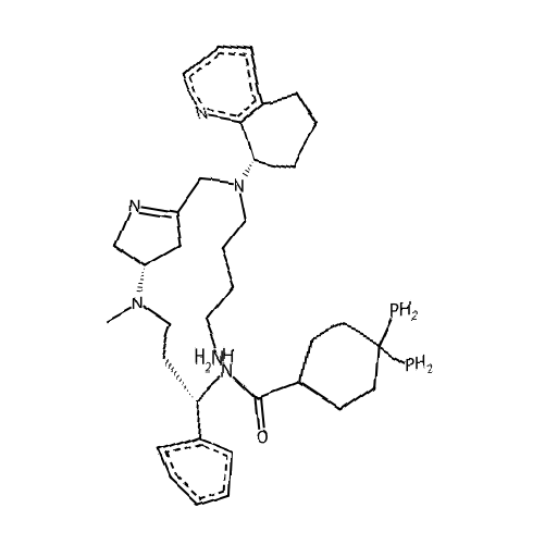 CN(CC[C@H](NC(=O)C1CCC(P)(P)CC1)c1ccccc1)[C@@H]1CN=C(CN(CCCCN)[C@H]2CCCc3cccnc32)C1